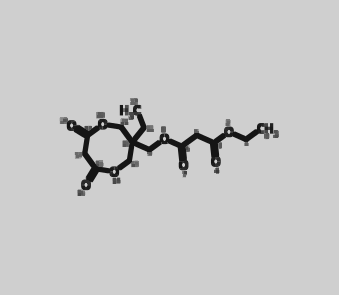 CCOC(=O)CC(=O)OCC1(CC)COC(=O)CC(=O)OC1